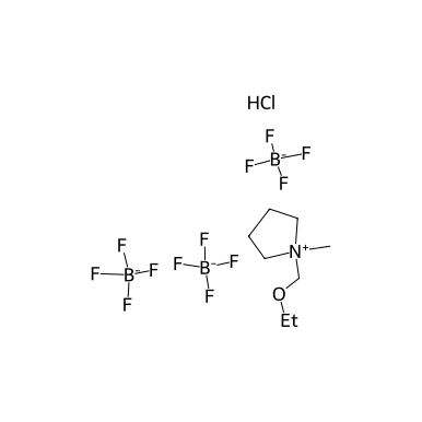 CCOC[N+]1(C)CCCC1.Cl.F[B-](F)(F)F.F[B-](F)(F)F.F[B-](F)(F)F